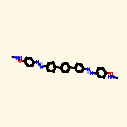 CNOc1ccc(/N=N/c2ccc(-c3ccc(-c4ccc(/N=N/c5ccc(ONC)cc5)cc4)cc3)cc2)cc1